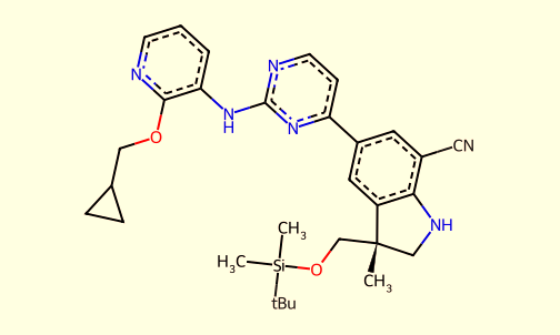 CC(C)(C)[Si](C)(C)OC[C@@]1(C)CNc2c(C#N)cc(-c3ccnc(Nc4cccnc4OCC4CC4)n3)cc21